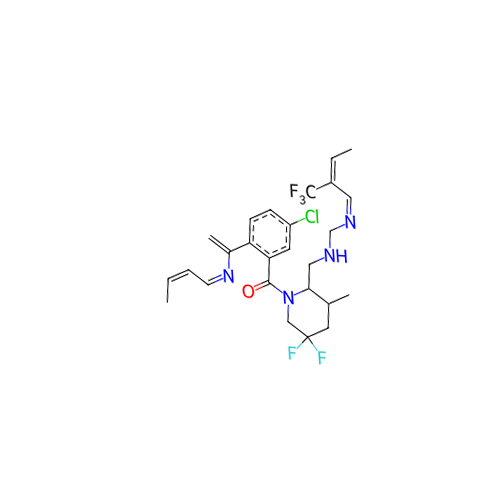 C=C(/N=C\C=C/C)c1ccc(Cl)cc1C(=O)N1CC(F)(F)CC(C)C1CNC/N=C\C(=C/C)C(F)(F)F